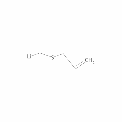 [Li][CH2]SCC=C